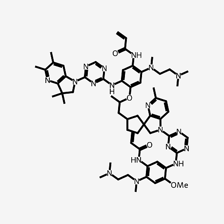 C=CC(=O)Nc1cc(Nc2ncnc(N3CC4(CCC(CC(C)Oc5cc(N(C)CCN(C)C)c(NC(=O)C=C)cc5Nc5ncnc(N6CC(C)(C)c7nc(C)c(C)cc76)n5)C4)c4nc(C)ccc43)n2)c(OC)cc1N(C)CCN(C)C